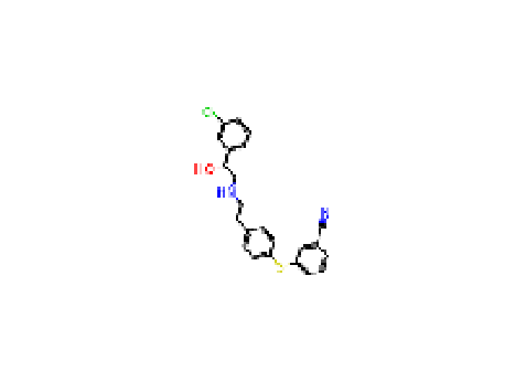 N#Cc1cccc(Sc2ccc(CCNC[C@H](O)c3cccc(Cl)c3)cc2)c1